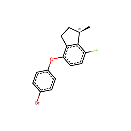 C[C@@H]1CCc2c(Oc3ccc(Br)cc3)ccc(F)c21